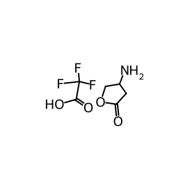 NC1COC(=O)C1.O=C(O)C(F)(F)F